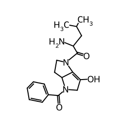 CC(C)CC(N)C(=O)N1CCC2C1=C(O)CN2C(=O)c1ccccc1